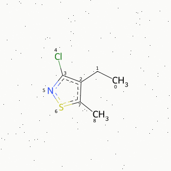 CCc1c(Cl)nsc1C